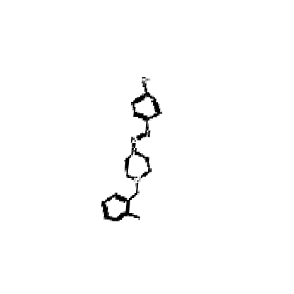 Cc1ccccc1CN1CCN(N=Nc2ccc(Br)cc2)CC1